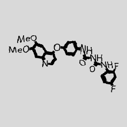 COc1cc2nccc(Oc3ccc(NC(=O)NC(=O)Nc4ccc(F)cc4F)cc3)c2cc1OC